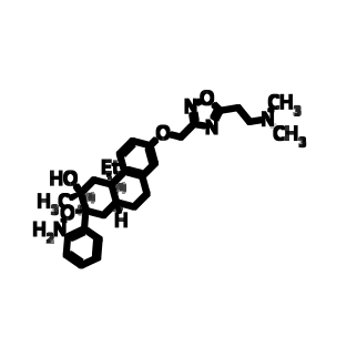 CC[C@@]12C[C@@](C)(O)[C@](ON)(c3ccccc3)C[C@H]1CCc1cc(OCc3noc(CCN(C)C)n3)ccc12